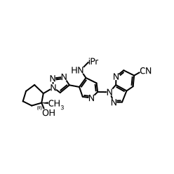 CC(C)Nc1cc(-n2ncc3cc(C#N)cnc32)ncc1-c1cn(C2CCCC[C@@]2(C)O)nn1